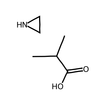 C1CN1.CC(C)C(=O)O